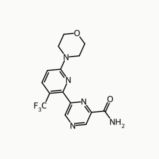 NC(=O)c1cncc(-c2nc(N3CCOCC3)ccc2C(F)(F)F)n1